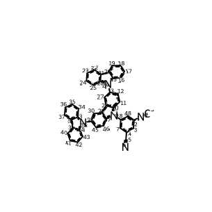 [C-]#[N+]c1cc(C#N)cc(-n2c3ccc(-n4c5ccccc5c5ccccc54)cc3c3cc(-n4c5ccccc5c5ccccc54)ccc32)c1